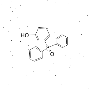 O=P(c1ccccc1)(c1ccccc1)c1cccc(O)c1